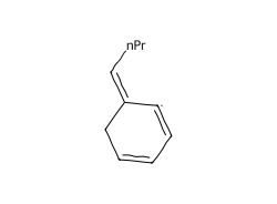 CCCC=C1[C]=CC=CC1